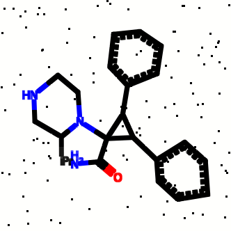 CC(C)C1CNCCN1C1(C(N)=O)C(c2ccccc2)C1c1ccccc1